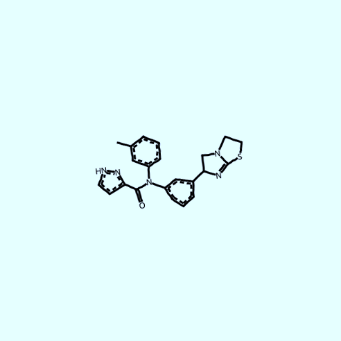 Cc1cccc(N(C(=O)c2cc[nH]n2)c2cccc(C3CN4CCSC4=N3)c2)c1